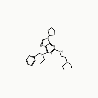 CCN(CC)CCNc1nc(N(CC)Cc2ccccc2)c2ncn(C3CCCC3)c2n1